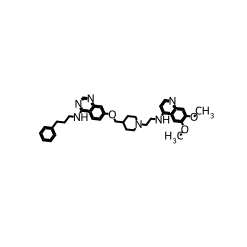 COc1cc2nccc(NCCN3CCC(COc4ccc5c(NCCCc6ccccc6)ncnc5c4)CC3)c2cc1OC